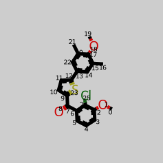 COc1cccc(C(=O)c2ccc(-c3cc(C)c(OC)c(C)c3)s2)c1Cl